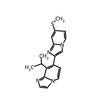 CSc1ccn2cc(-c3ccn4ccnc4c3C(C)C)nc2c1